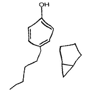 C1CC2CC2C1.CCCCc1ccc(O)cc1